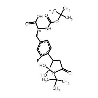 CC(C)(C)OC(=O)N[C@@H](Cc1ccc(C2CC(=O)N(C(C)(C)C)S2(O)O)c(F)c1)C(=O)O